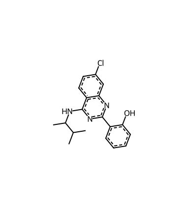 CC(C)C(C)Nc1nc(-c2ccccc2O)nc2cc(Cl)ccc12